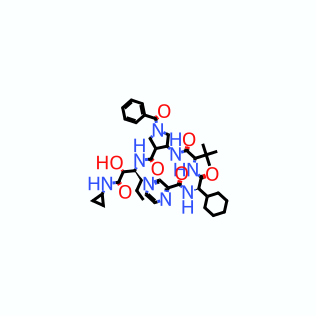 CCC[C@H](NC(=O)C1CN(C(=O)c2ccccc2)CC1NC(=O)C(NC(=O)[C@@H](NC(=O)c1cnccn1)C1CCCCC1)C(C)(C)C)C(O)C(=O)NC1CC1